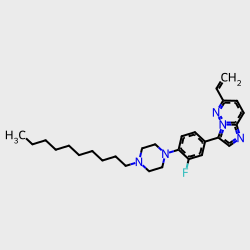 C=Cc1ccc2ncc(-c3ccc(N4CCN(CCCCCCCCCC)CC4)c(F)c3)n2n1